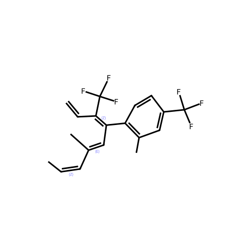 C=C\C(=C(/C=C(C)/C=C\C)c1ccc(C(F)(F)F)cc1C)C(F)(F)F